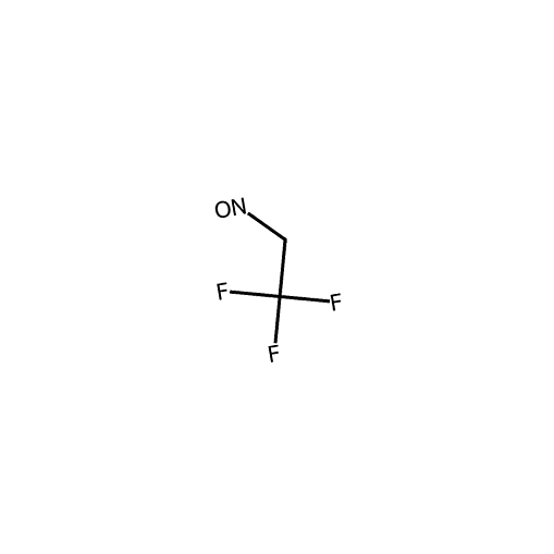 O=NCC(F)(F)F